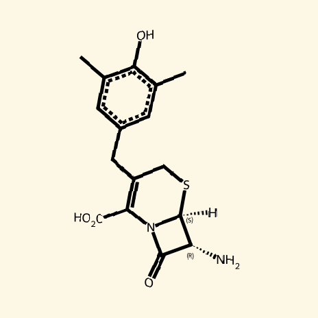 Cc1cc(CC2=C(C(=O)O)N3C(=O)[C@@H](N)[C@@H]3SC2)cc(C)c1O